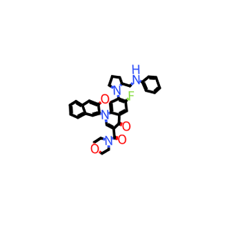 O=C(c1cn2c3c(c(N4CCCC4CNc4ccccc4)c(F)cc3c1=O)Oc1cc3ccccc3cc1-2)N1CCOCC1